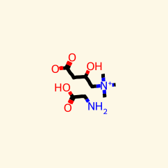 C[N+](C)(C)CC(O)CC(=O)[O-].NCC(=O)O